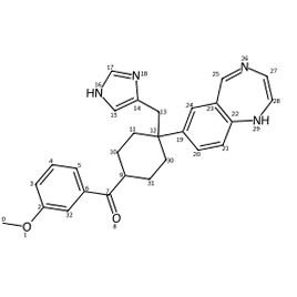 COc1cccc(C(=O)C2CCC(Cc3c[nH]cn3)(c3ccc4c(c3)C=NC=CN4)CC2)c1